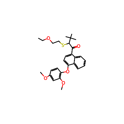 CCOCCSC(C(=O)c1ccc(Oc2ccc(OC)cc2OC)c2ccccc12)C(C)(C)C